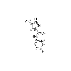 O=C(Nc1ccc(F)cn1)c1cc(Cl)[nH]n1